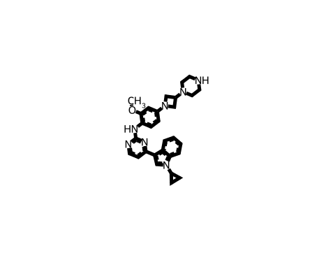 COc1cc(N2CC(N3CCNCC3)C2)ccc1Nc1nccc(-c2cn(C3CC3)c3ccccc23)n1